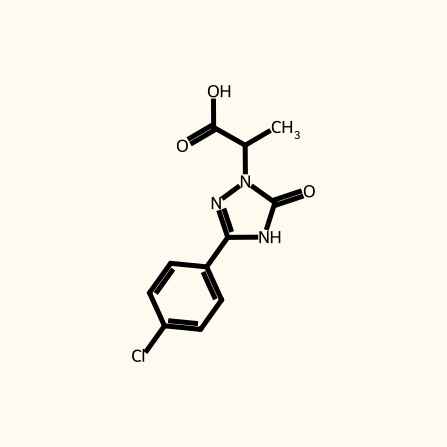 CC(C(=O)O)n1nc(-c2ccc(Cl)cc2)[nH]c1=O